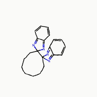 c1ccc2c(c1)=NC1(CCCCCCCC13N=c1ccccc1=N3)N=2